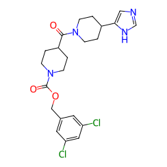 O=C(OCc1cc(Cl)cc(Cl)c1)N1CCC(C(=O)N2CCC(c3cnc[nH]3)CC2)CC1